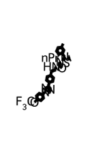 CCCc1ccc(C)cc1N1CCS/C1=N\C(=O)N/C=C/c1ccc(-c2ncn(-c3ccc(OC(F)(F)F)cc3)n2)cc1